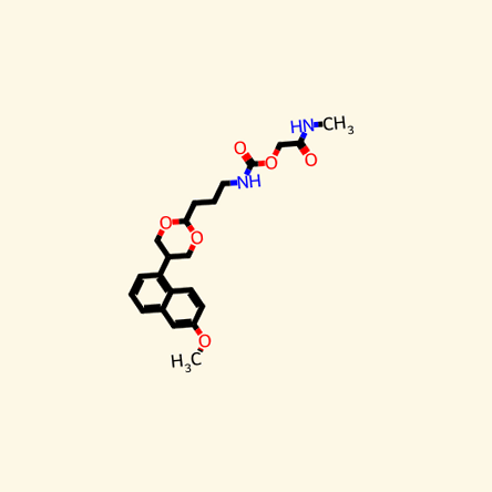 CNC(=O)COC(=O)NCCCC1OCC(c2cccc3cc(OC)ccc23)CO1